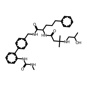 CNC(=O)Nc1ccccc1-c1ccc(CNC(=O)C(CCCc2ccccc2)NC(=O)CC(C)(C)NCC(C)O)cc1